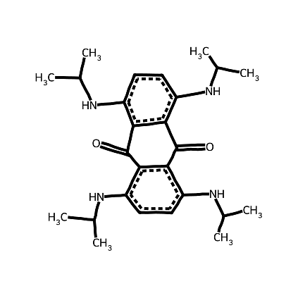 CC(C)Nc1ccc(NC(C)C)c2c1C(=O)c1c(NC(C)C)ccc(NC(C)C)c1C2=O